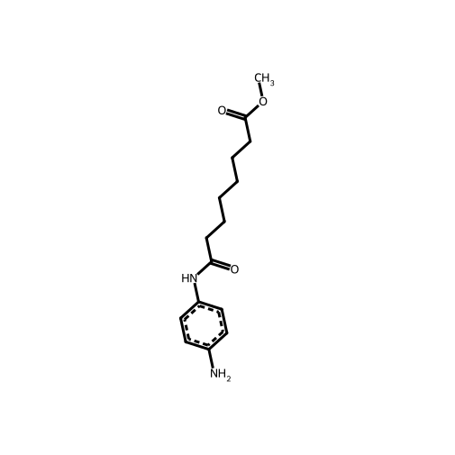 COC(=O)CCCCCCC(=O)Nc1ccc(N)cc1